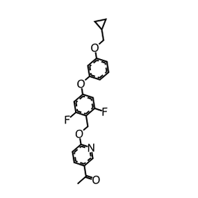 CC(=O)c1ccc(OCc2c(F)cc(Oc3cccc(OCC4CC4)c3)cc2F)nc1